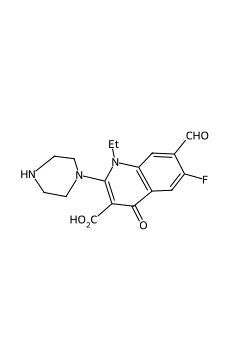 CCn1c(N2CCNCC2)c(C(=O)O)c(=O)c2cc(F)c(C=O)cc21